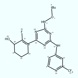 CC(C)(C)ONc1nc(Nc2ccnc(C(F)(F)F)c2)nc(C2=C(F)C(O)CCC2)n1